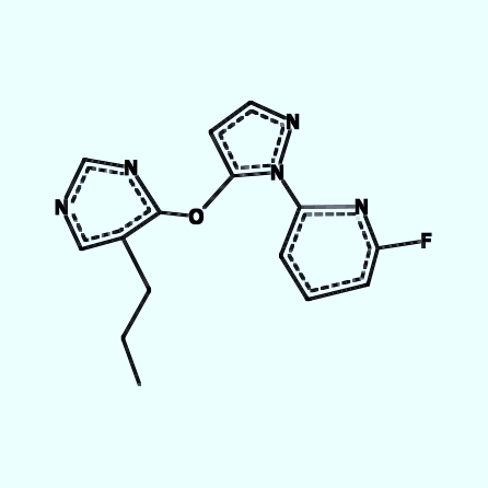 CCCc1cncnc1Oc1ccnn1-c1cccc(F)n1